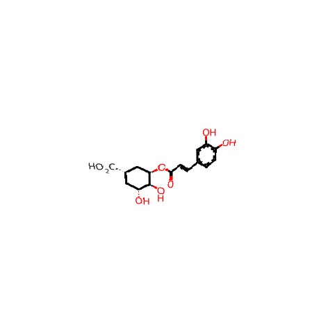 O=C(/C=C/c1ccc(O)c(O)c1)O[C@@H]1C[C@@H](C(=O)O)C[C@@H](O)[C@@H]1O